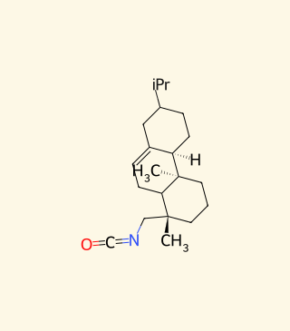 CC(C)C1CC[C@@H]2C(=CCC3[C@@](C)(CN=C=O)CCC[C@@]32C)C1